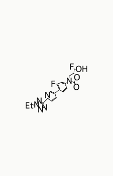 CCn1nnc(-c2ccc(-c3ccc(N4C[C@H](C(O)F)OC4=O)cc3F)cn2)n1